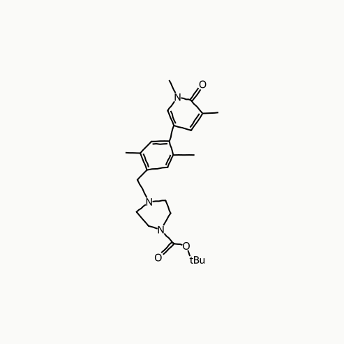 Cc1cc(-c2cc(C)c(=O)n(C)c2)c(C)cc1CN1CCN(C(=O)OC(C)(C)C)CC1